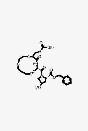 CC(C)(C)C(=O)SCC1CCCCCCCSC[C@@H](C(=O)N2CC(O)C[C@H]2C(=O)OCc2ccccc2)NC1=O